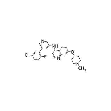 CN1CCC(Oc2ccc3c(Nc4cnnc(-c5cc(Cl)ccc5F)c4)ccnc3c2)CC1